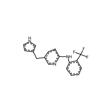 FC(F)(F)c1ccccc1Nc1ccc(Cc2cc[nH]c2)cn1